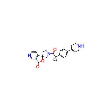 O=C1OC2(CCN(C(=O)C3(c4ccc(C5=CCNCC5)cc4)CC3)C2)c2ccncc21